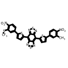 Cc1cc(-c2ccc(-c3c4c(c(-c5ccc(-c6ccc([N+](=O)[O-])c(SC(F)(F)F)c6)s5)c5nsnc35)N=S=N4)s2)ccc1[N+](=O)[O-]